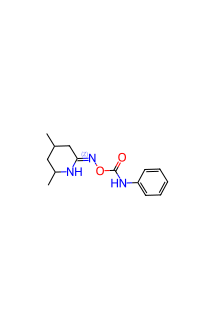 CC1C/C(=N/OC(=O)Nc2ccccc2)NC(C)C1